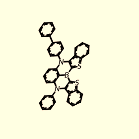 c1ccc(-c2ccc(N3c4cccc5c4B(c4sc6ccccc6c4N5c4ccccc4)c4sc5ccccc5c43)cc2)cc1